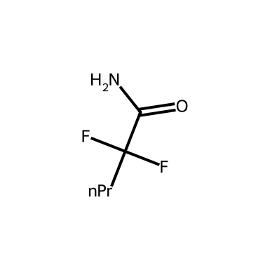 CCCC(F)(F)C(N)=O